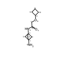 NC12CC(NC(=O)COC3CCC3)(C1)C2